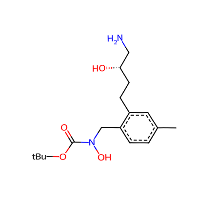 Cc1ccc(CN(O)C(=O)OC(C)(C)C)c(CC[C@H](O)CN)c1